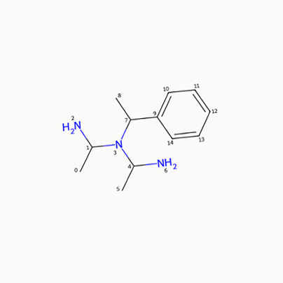 CC(N)N(C(C)N)C(C)c1ccccc1